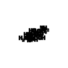 CC(C)C(N)C(=O)O[C@H]1[C@@H](O)[C@H](c2c[nH]c3c(N)ncnc23)N[C@@H]1CO